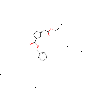 CCOC(=O)C=C1CCC(C(=O)OCc2ccccc2)C1